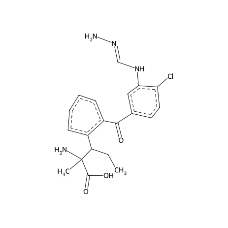 CCC(c1ccccc1C(=O)c1ccc(Cl)c(NC=NN)c1)C(C)(N)C(=O)O